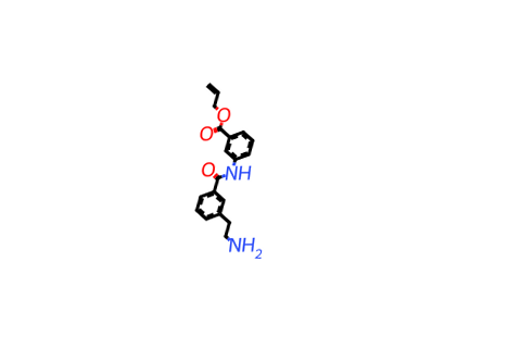 C=CCOC(=O)c1cccc(NC(=O)c2cccc(CCN)c2)c1